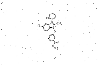 COC(=O)c1cccc(Sc2c(C)n(C3=CC=CCN3)c3cc(Cl)ccc23)c1